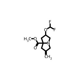 C=C1CN2CC(OC(F)F)CC2(C(=O)OC)C1